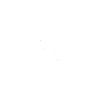 COc1ccc([C@H](C)N(C)c2nc(C)nc3c2CCC3)cc1